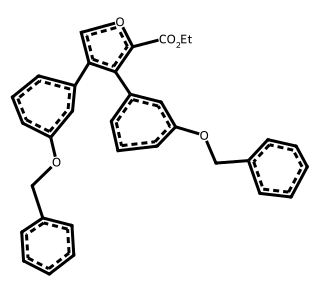 CCOC(=O)c1occ(-c2cccc(OCc3ccccc3)c2)c1-c1cccc(OCc2ccccc2)c1